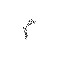 C[C@@H](COCCC(=O)N1CCN(c2ccc(Cl)cn2)CC1)Oc1cn[nH]c(=O)c1C(F)(F)F